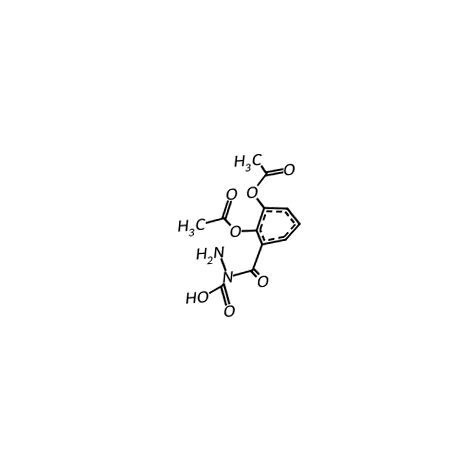 CC(=O)Oc1cccc(C(=O)N(N)C(=O)O)c1OC(C)=O